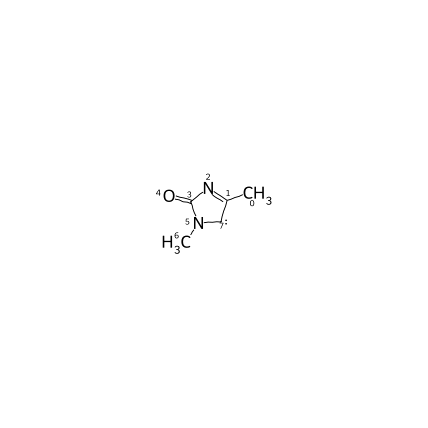 CC1=NC(=O)N(C)[C]1